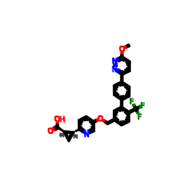 COc1ccc(-c2ccc(-c3cc(COc4ccc([C@@H]5C[C@H]5C(=O)O)nc4)ccc3C(F)(F)F)cc2)nn1